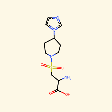 NC(CS(=O)(=O)N1CCC(n2ccnc2)CC1)C(=O)O